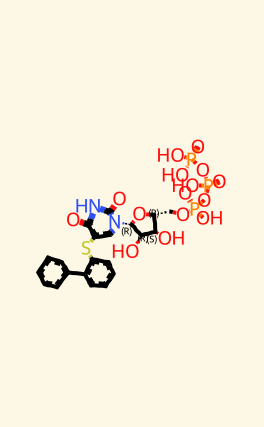 O=c1[nH]c(=O)n([C@@H]2O[C@H](COP(=O)(O)OP(=O)(O)OP(=O)(O)O)[C@@H](O)[C@H]2O)cc1Sc1ccccc1-c1ccccc1